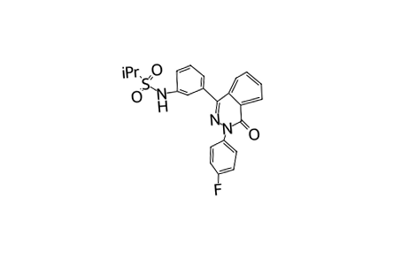 CC(C)S(=O)(=O)Nc1cccc(-c2nn(-c3ccc(F)cc3)c(=O)c3ccccc23)c1